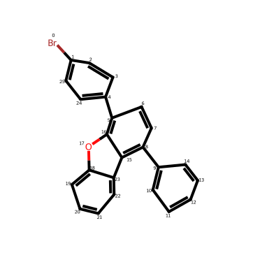 Brc1ccc(-c2ccc(-c3ccccc3)c3c2oc2ccccc23)cc1